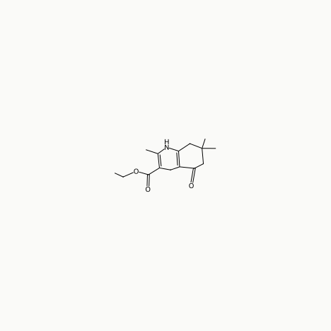 CCOC(=O)C1=C(C)NC2=C(C1)C(=O)CC(C)(C)C2